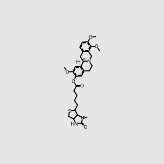 COc1cc2c(cc1OC(=O)CCCCC1SCC3NC(=O)NC31)CCN1Cc3c(ccc(OC)c3OC)C[C@H]21